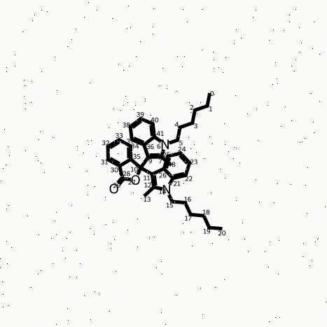 CCCCCCn1c(C)c(C2(c3c(C)n(CCCCCC)c4ccccc34)OC(=O)c3ccccc32)c2ccccc21